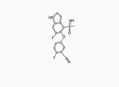 CS(=N)(=O)c1c(Oc2ccc(F)c(C#N)c2)c(F)cc2[nH]ccc12